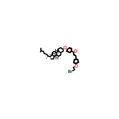 CC(C)CCC[C@@H](C)[C@H]1CC[C@H]2[C@@H]3CCC4CC(Oc5ccc(C(=O)C=Cc6ccc(OCCBr)cc6)cc5)CC[C@]4(C)[C@H]3CC[C@]12C